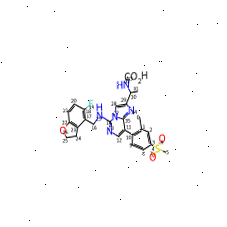 Cc1cc(S(C)(=O)=O)ccc1-c1cnc(NCc2c(F)ccc3c2CCO3)n2cc(C(C)NC(=O)O)nc12